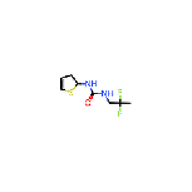 CC(F)(F)CNC(=O)NC1CC=CS1